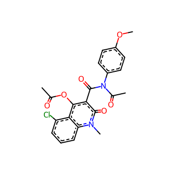 COc1ccc(N(C(C)=O)C(=O)c2c(OC(C)=O)c3c(Cl)cccc3n(C)c2=O)cc1